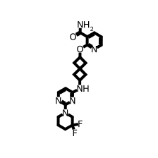 NC(=O)c1cccnc1OC1CC2(CC(Nc3ccnc(N4CCCC(F)(F)C4)n3)C2)C1